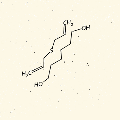 C=CCSCC=C.OCCCCCCO